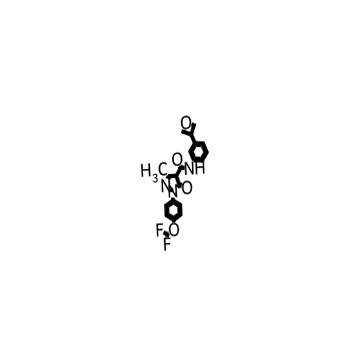 CC1=NN(c2ccc(OC(F)F)cc2)C(=O)C1C(=O)Nc1cccc(C2COC2)c1